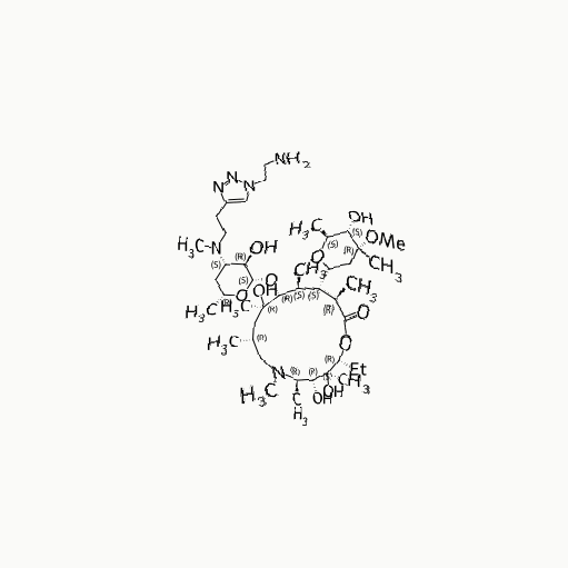 CC[C@H]1OC(=O)[C@H](C)[C@@H](C2C[C@@](C)(OC)[C@@H](O)[C@H](C)O2)[C@H](C)[C@@H](O[C@@H]2O[C@H](C)C[C@H](N(C)CCc3cn(CCN)nn3)[C@H]2O)[C@](C)(O)C[C@@H](C)CN(C)[C@H](C)[C@@H](O)[C@]1(C)O